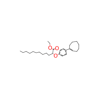 CCCCCCCCCCC(Oc1ccc(C2=CCCCCCC2)cc1)C(=O)OCC